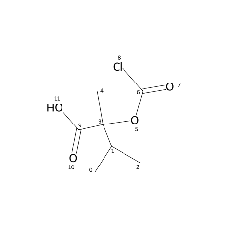 CC(C)C(C)(OC(=O)Cl)C(=O)O